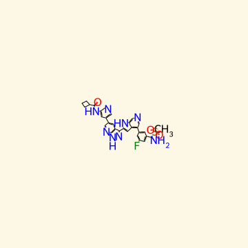 CS(=O)(=O)C(N)c1cc(F)cc(-c2cncc3[nH]c(-c4n[nH]c5ncc(-c6cncc(NC(=O)C7CCC7)c6)cc45)cc23)c1